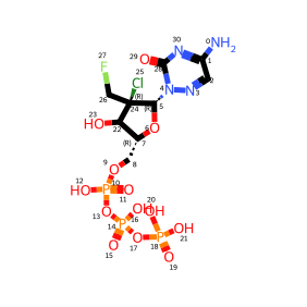 Nc1cnn([C@@H]2O[C@H](COP(=O)(O)OP(=O)(O)OP(=O)(O)O)C(O)[C@]2(Cl)CF)c(=O)n1